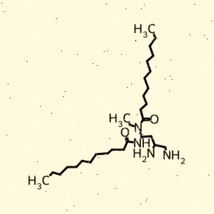 CCCCCCCCCCCC(=O)NC(CC(N)CN)N(CC)C(=O)CCCCCCCCCCC